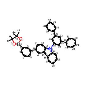 CC1(C)OB(c2cccc(-c3ccc4c(c3)c3ccccc3n4-c3cc(-c4ccccc4)cc(-c4ccccc4)c3)c2)OC1(C)C